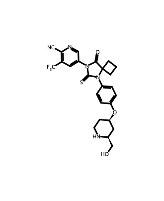 N#Cc1ncc(N2C(=O)C3(CCC3)N(c3ccc(O[C@@H]4CCN[C@H](CO)C4)cc3)C2=S)cc1C(F)(F)F